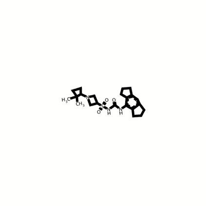 CC1(C)CCC1N1CC(S(=O)(=O)NC(=O)Nc2c3c(cc4c2CCC4)CCC3)C1